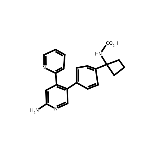 Nc1cc(-c2ccccn2)c(-c2ccc(C3(NC(=O)O)CCC3)cc2)cn1